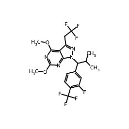 COc1nc(OC)c2c(CC(F)(F)F)nn(C(c3ccc(C(F)(F)F)c(F)c3)C(C)C)c2n1